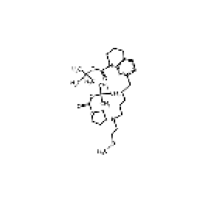 COCCN(CCCCCc1ccc2c(n1)N(C(=O)OC(C)(C)C)CCC2)[C@@H]1CCN(C(=O)OC(C)(C)C)C1